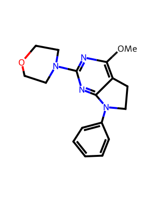 COc1nc(N2CCOCC2)nc2c1CCN2c1ccccc1